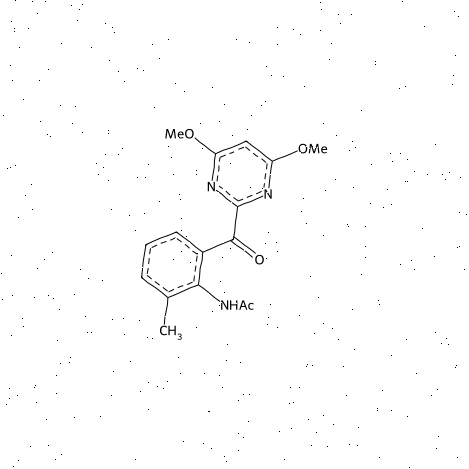 COc1cc(OC)nc(C(=O)c2cccc(C)c2NC(C)=O)n1